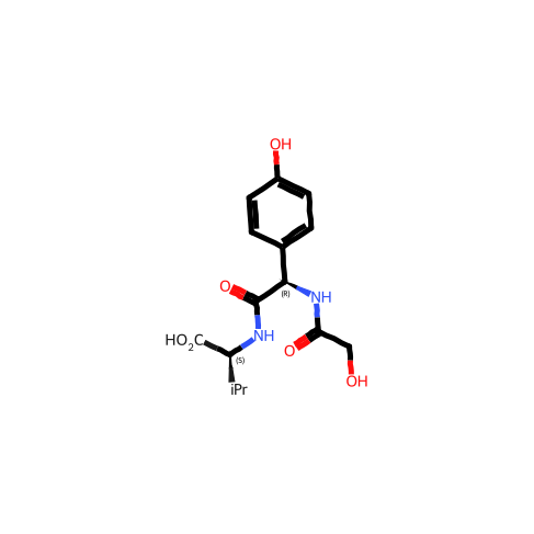 CC(C)[C@H](NC(=O)[C@H](NC(=O)CO)c1ccc(O)cc1)C(=O)O